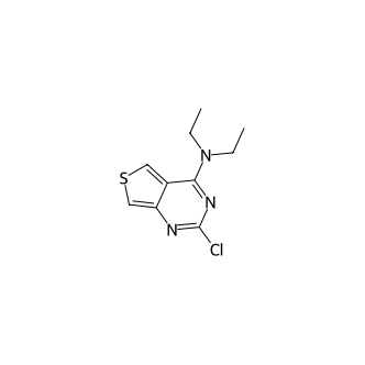 CCN(CC)c1nc(Cl)nc2cscc12